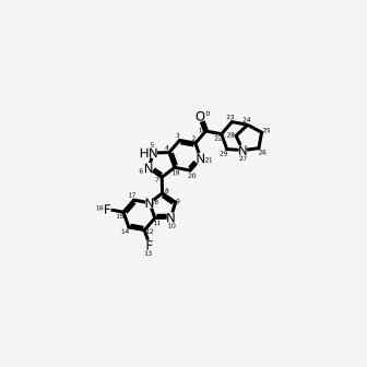 O=C(c1cc2[nH]nc(-c3cnc4c(F)cc(F)cn34)c2cn1)C1CC2CCN(C2)C1